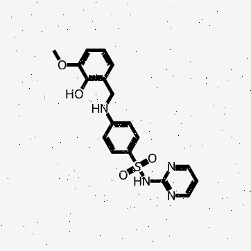 COc1cccc(CNc2ccc(S(=O)(=O)Nc3ncccn3)cc2)c1O